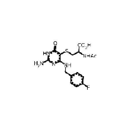 CC(=O)NC(CSc1c(NCc2ccc(F)cc2)nc(N)[nH]c1=O)C(=O)O